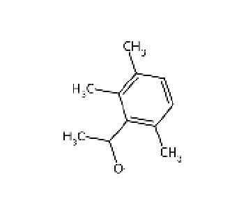 Cc1ccc(C)c(C(C)[O])c1C